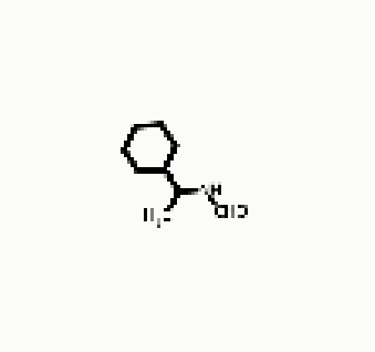 CC(N[C]=O)C1CCCCC1